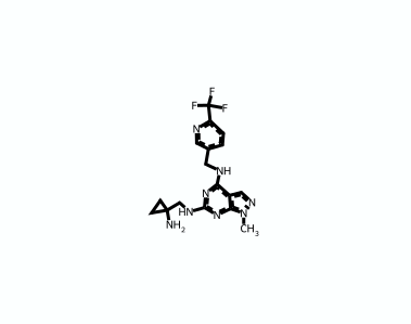 Cn1ncc2c(NCc3ccc(C(F)(F)F)nc3)nc(NCC3(N)CC3)nc21